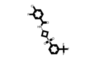 O=C(N[C@H]1C[C@H](S(=O)(=O)c2cccc(C(F)(F)F)c2)C1)c1ccc(Cl)c(F)c1